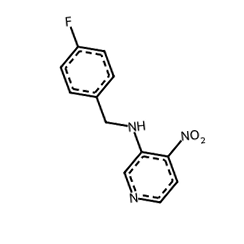 O=[N+]([O-])c1ccncc1NCc1ccc(F)cc1